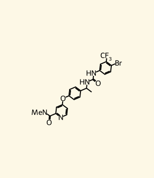 CNC(=O)c1cc(Oc2ccc(C(C)NC(=O)Nc3ccc(Br)c(C(F)(F)F)c3)cc2)ccn1